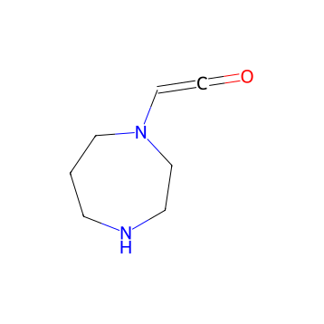 O=C=CN1CCCNCC1